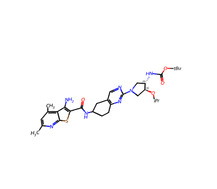 Cc1cc(C)c2c(N)c(C(=O)NC3CCc4nc(N5C[C@H](NC(=O)OC(C)(C)C)[C@@H](OC(C)C)C5)ncc4C3)sc2n1